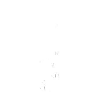 COc1ccccc1C(C)N(Cc1ccccn1)C(=O)CCc1ccc(F)cc1